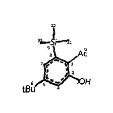 CC(=O)c1c(O)cc(C(C)(C)C)cc1[Si](C)(C)C